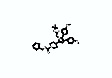 COc1ccc(-c2cc(C3CCN(C(=O)OCc4ccccc4)CC3)n(CC(=O)OC(C)(C)C)c2-c2ccc(OC)cc2)cc1